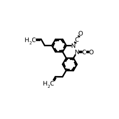 C=CCc1ccc(N=C=O)c(-c2cc(CC=C)ccc2N=C=O)c1